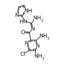 N/C(=N/C(=O)c1nc(Cl)c(N)nc1N)Nc1ncc[nH]1